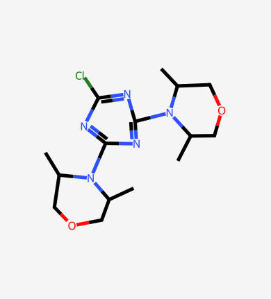 CC1COCC(C)N1c1nc(Cl)nc(N2C(C)COCC2C)n1